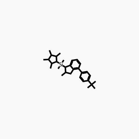 CC1Cc2c(-c3ccc(C(C)(C)C)cc3)cccc2C1[Si](C)(C)C1C(C)C(C)C(C)C1C